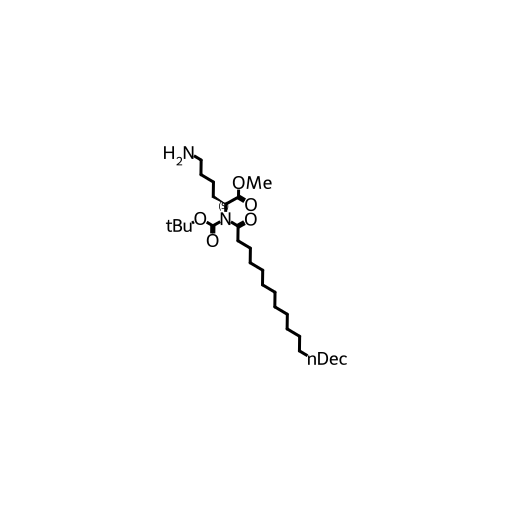 CCCCCCCCCCCCCCCCCCCCCC(=O)N(C(=O)OC(C)(C)C)[C@@H](CCCCN)C(=O)OC